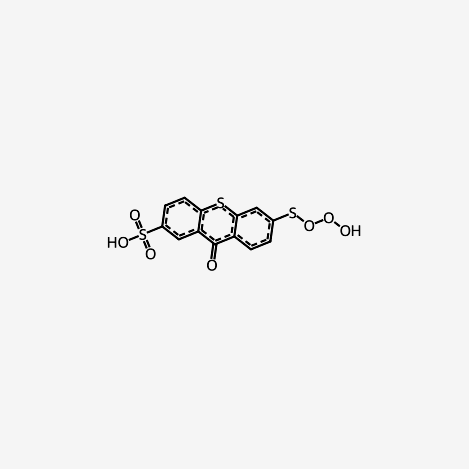 O=c1c2ccc(SOOO)cc2sc2ccc(S(=O)(=O)O)cc12